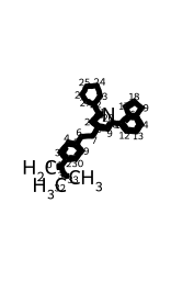 C=C(c1ccc(CCc2cc(-c3cccc4c3C=CC4)nc(C3CCCCC3)c2)cc1)C(C)C